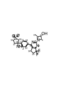 C[C@H]1[C@H](O)CN1c1nc(-c2ccc(C3(N)CCS(=O)(=O)C3)cc2)c2c(n1)C(F)(F)CC2